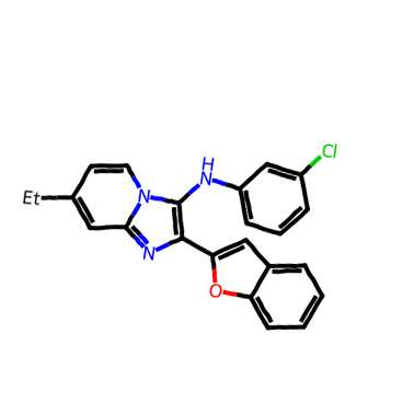 CCc1ccn2c(Nc3cccc(Cl)c3)c(-c3cc4ccccc4o3)nc2c1